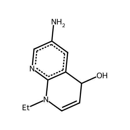 CCN1C=CC(O)c2cc(N)cnc21